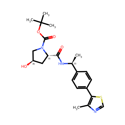 Cc1ncsc1-c1ccc([C@H](C)NC(=O)[C@@H]2C[C@@H](O)CN2C(=O)OC(C)(C)C)cc1